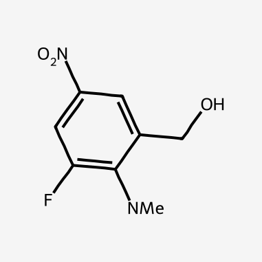 CNc1c(F)cc([N+](=O)[O-])cc1CO